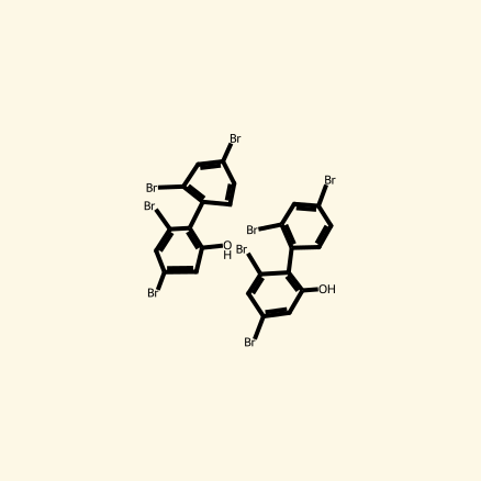 Oc1cc(Br)cc(Br)c1-c1ccc(Br)cc1Br.Oc1cc(Br)cc(Br)c1-c1ccc(Br)cc1Br